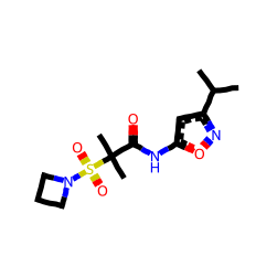 CC(C)c1cc(NC(=O)C(C)(C)S(=O)(=O)N2CCC2)on1